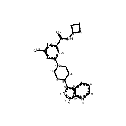 O=C(NC1CCC1)c1nc(Cl)cc(N2CCC(c3n[nH]c4ncccc34)CC2)n1